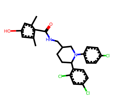 Cc1cc(O)cc(C)c1C(=O)NCC1CCC(c2ccc(Cl)cc2Cl)N(c2ccc(Cl)cc2)C1